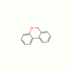 [C]1Oc2ccccc2-c2ccccc21